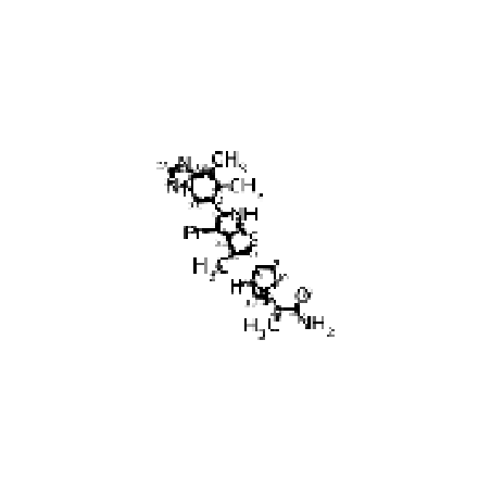 Cc1c(-c2[nH]c3sc([C@@H]4CC5C[C@H]4CN5[C@@H](C)C(N)=O)c(C)c3c2C(C)C)cn2ncnc2c1C